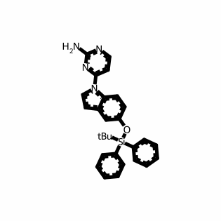 CC(C)(C)[Si](Oc1ccc2c(ccn2-c2ccnc(N)n2)c1)(c1ccccc1)c1ccccc1